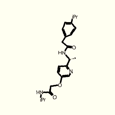 CC(C)NC(=O)COc1ccc([C@@H](C)NC(=O)Cc2ccc(C(C)C)cc2)nc1